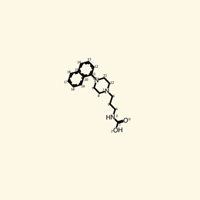 O=C(O)NCCCN1CCN(c2cccc3ccccc23)CC1